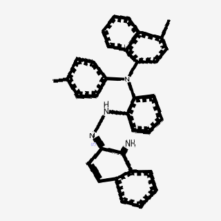 Cc1ccc(N(c2ccccc2N/N=C2/C=Cc3ccccc3C2=N)c2ccc(C)c3ccccc23)cc1